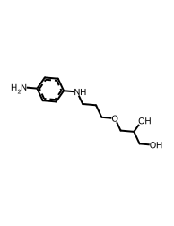 Nc1ccc(NCCCOCC(O)CO)cc1